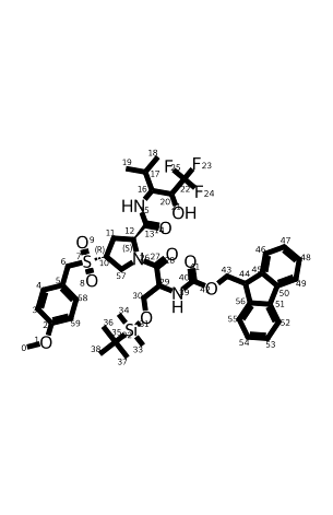 COc1ccc(CS(=O)(=O)[C@@H]2C[C@@H](C(=O)NC(C(C)C)C(O)C(F)(F)F)N(C(=O)C(CO[Si](C)(C)C(C)(C)C)NC(=O)OCC3c4ccccc4-c4ccccc43)C2)cc1